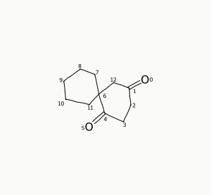 O=C1CCC(=O)C2(CCCCC2)C1